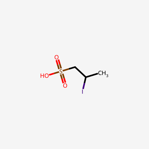 CC(I)CS(=O)(=O)O